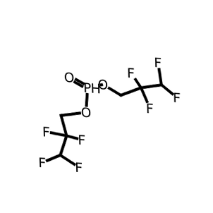 O=[PH](OCC(F)(F)C(F)F)OCC(F)(F)C(F)F